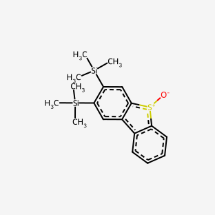 C[Si](C)(C)c1cc2c3ccccc3[s+]([O-])c2cc1[Si](C)(C)C